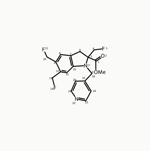 COC(=O)C1(CF)Cc2cc(CF)c(CF)cc2N1Cc1ccncc1